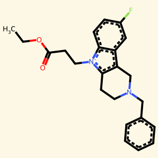 CCOC(=O)CCn1c2c(c3cc(F)ccc31)CN(Cc1ccccc1)CC2